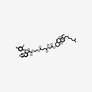 CC(C)CCC[C@@H](C)[C@H]1CC[C@H]2[C@@H]3CC=C4C[C@@H](OC(=O)CNC(=O)CCC(=O)OCCONC(=O)c5ccc6cncn6c5Nc5ccc(I)cc5F)CC[C@]4(C)[C@H]3CC[C@]12C